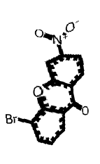 O=c1c2ccc([N+](=O)[O-])cc2oc2c(Br)cccc12